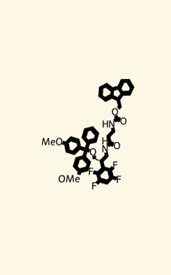 COc1ccc(C(OC[C@H](CNC(=O)CCNC(=O)OCC2c3ccccc3-c3ccccc32)c2c(F)c(F)cc(F)c2F)(c2ccccc2)c2ccc(OC)cc2)cc1